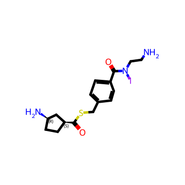 NCCN(I)C(=O)c1ccc(CSC(=O)[C@H]2CC[C@@H](N)C2)cc1